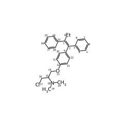 CC/C(=C(\c1ccccc1)c1ccc(OCC(CCl)N(C)C)cc1)c1ccccc1